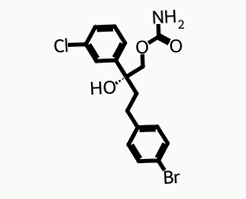 NC(=O)OC[C@@](O)(CCc1ccc(Br)cc1)c1cccc(Cl)c1